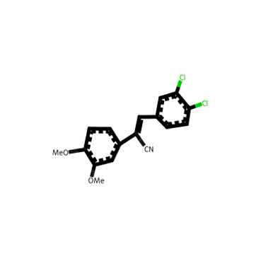 COc1ccc(C(C#N)=Cc2ccc(Cl)c(Cl)c2)cc1OC